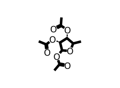 CC(=O)OC1OC(C)[C@@H](OC(C)=O)[C@H]1OC(C)=O